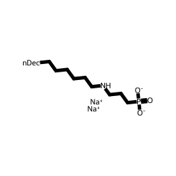 CCCCCCCCCCCCCCCCNCCCP(=O)([O-])[O-].[Na+].[Na+]